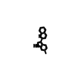 Cc1ccc2c(-c3ccc4ccccc4n3)c[nH]c2c1